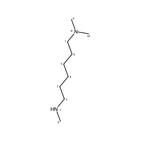 CNCCCCCCN(C)C